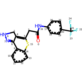 O=C(CC1=C2CNN=C2c2ccccc2S1)Nc1ccc(C(F)(F)F)cc1